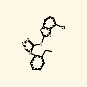 CCc1ccccc1-n1nnnc1Sc1nc2c(Cl)cccc2s1